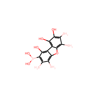 Bc1c(O)c(O)c2c(oc3c(B)c(B)c(B(O)O)c(O)c32)c1B